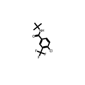 CC(C)(C)NC(=O)c1ccc(Cl)c(C(F)(F)F)c1